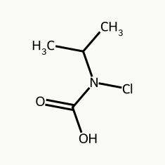 CC(C)N(Cl)C(=O)O